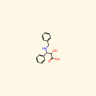 O=C(O)C(O)[C@H](NCc1ccccc1)c1ccccc1